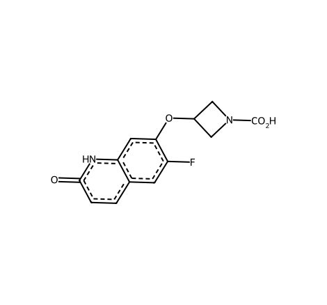 O=C(O)N1CC(Oc2cc3[nH]c(=O)ccc3cc2F)C1